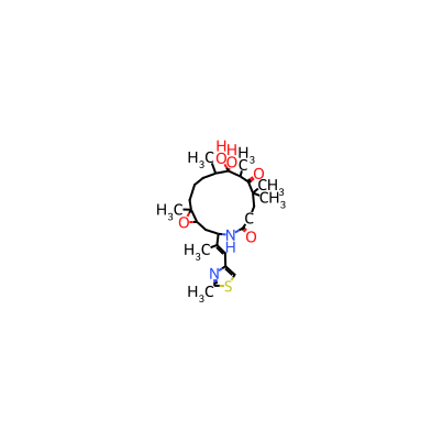 CC(=Cc1csc(C)n1)C1CC2OC2(C)CCCC(C)C(O)(O)C(C)C(=O)C(C)(C)CCC(=O)N1